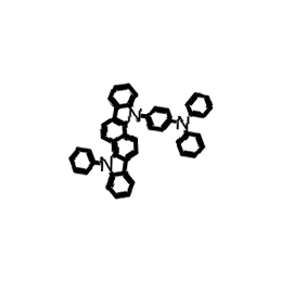 c1ccc(N(c2ccccc2)c2ccc(-n3c4ccccc4c4ccc5c(ccc6c7ccccc7n(-c7ccccc7)c65)c43)cc2)cc1